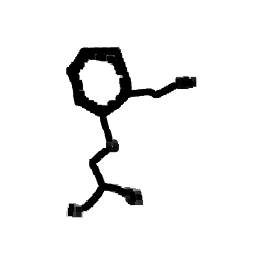 CCC(O)COc1ccccc1CC(C)(C)C